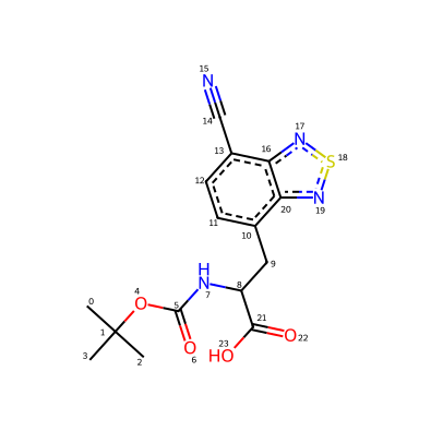 CC(C)(C)OC(=O)NC(Cc1ccc(C#N)c2nsnc12)C(=O)O